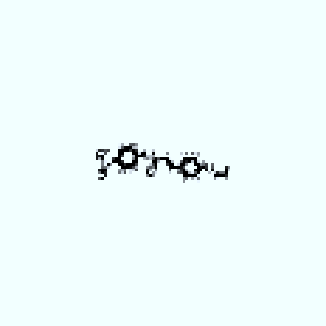 C/C=C\Oc1ccc(/C=C/C(=O)Oc2ccc([N+](=O)[O-])cc2)cc1